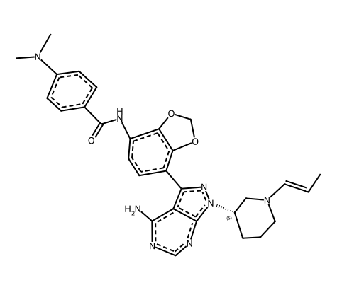 CC=CN1CCC[C@H](n2nc(-c3ccc(NC(=O)c4ccc(N(C)C)cc4)c4c3OCO4)c3c(N)ncnc32)C1